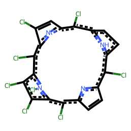 ClC1=Cc2nc1c(Cl)c1c(Cl)c(Cl)c(c(Cl)c3nc(c(Cl)c4ccc([nH]4)c2Cl)C=C3)n1Cl